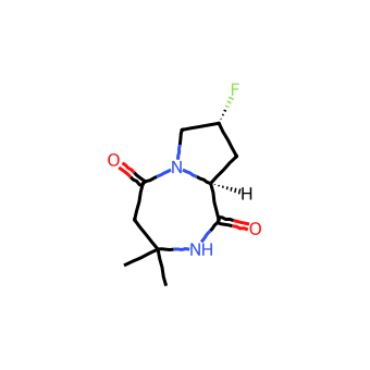 CC1(C)CC(=O)N2C[C@H](F)C[C@H]2C(=O)N1